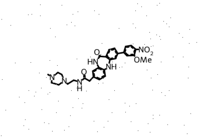 COc1cc(-c2ccc3c(c2)Nc2ccc(CC(=O)NCCN4CCN(C)CC4)cc2NC3=O)ccc1[N+](=O)[O-]